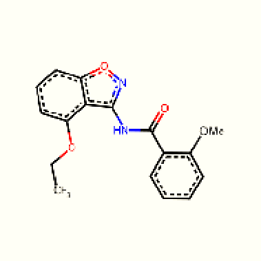 COc1ccccc1C(=O)Nc1noc2cccc(OCC(F)(F)F)c12